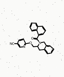 N#Cc1ccc(OCC2Cc3ccccc3CN2C(=O)c2cccc3ccccc23)nc1